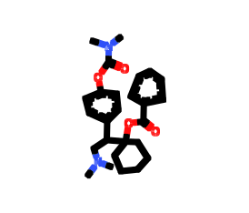 CN(C)CC(c1ccc(OC(=O)N(C)C)cc1)C1(OC(=O)c2ccccc2)CCCCC1